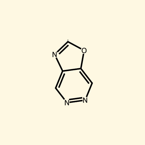 [c]1nc2cnncc2o1